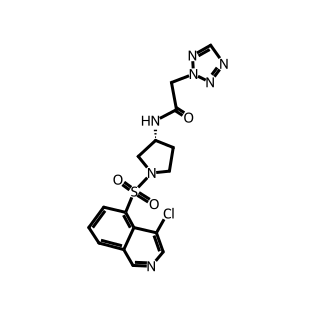 O=C(Cn1ncnn1)N[C@@H]1CCN(S(=O)(=O)c2cccc3cncc(Cl)c23)C1